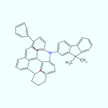 CC1(C)c2ccccc2-c2ccc(N(c3ccc(-c4ccccc4)cc3)c3ccccc3-c3cccc4cccc(C5CCCCC5)c34)cc21